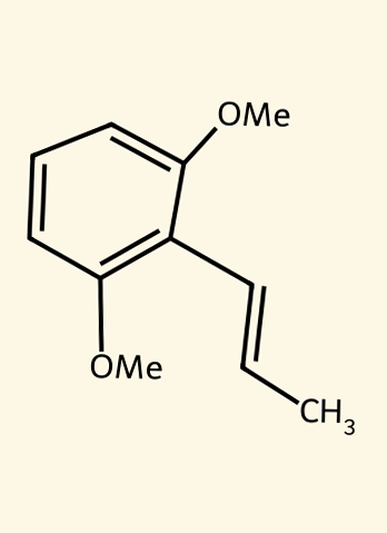 C/C=C/c1c(OC)cccc1OC